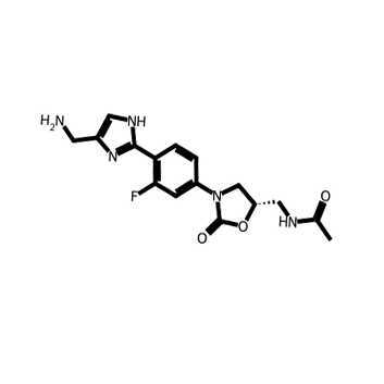 CC(=O)NC[C@H]1CN(c2ccc(-c3nc(CN)c[nH]3)c(F)c2)C(=O)O1